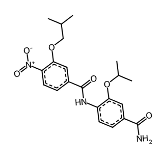 CC(C)COc1cc(C(=O)Nc2ccc(C(N)=O)cc2OC(C)C)ccc1[N+](=O)[O-]